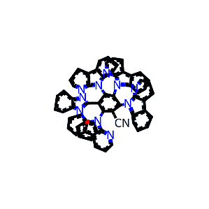 N#Cc1c(-n2c3ccccc3c3cccnc32)c(-c2nc3ccccc3n2-c2ccccc2)c(-n2c3ccccc3c3cccnc32)c(-n2c3ccccc3c3cccnc32)c1-n1c2ccccc2c2cccnc21